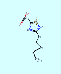 CCCCCc1nsc(C(=O)O)n1